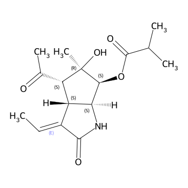 C/C=C1/C(=O)N[C@H]2[C@H]1[C@H](C(C)=O)[C@@](C)(O)[C@H]2OC(=O)C(C)C